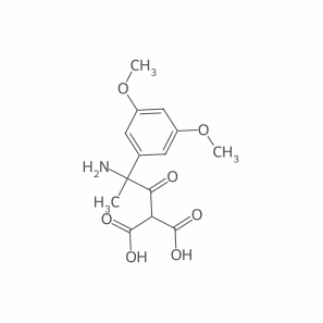 COc1cc(OC)cc(C(C)(N)C(=O)C(C(=O)O)C(=O)O)c1